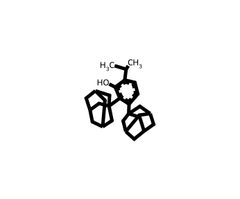 CC(C)c1ccc(C23CC4CC(CC(C4)C2)C3)c(C23CC4CC(CC(C4)C2)C3)c1O